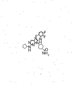 NC(=O)[C@H]1CC[C@H](n2c(Nc3c(F)ccc(F)c3F)nc3cnc(NC4CCCC4)nc32)CC1